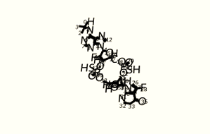 CC(C)(C)Nc1ncnc2c1ncn2[C@@H]1O[C@@H]2COP(=O)(S)O[C@H]3C(n4cc(F)c5c4N=CCC5=O)O[C@H](COP(=O)(S)O[C@H]2[C@H]1F)[C@H]3O